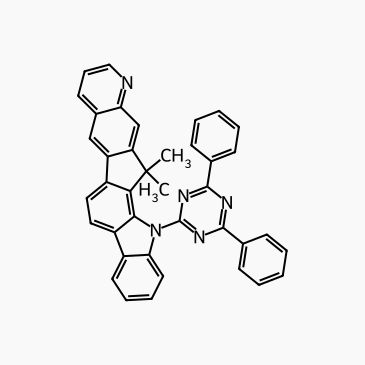 CC1(C)c2cc3ncccc3cc2-c2ccc3c4ccccc4n(-c4nc(-c5ccccc5)nc(-c5ccccc5)n4)c3c21